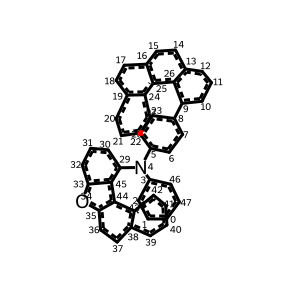 c1ccc(N(c2ccc(-c3cccc4ccc5ccc6ccccc6c5c34)cc2)c2cccc3oc4ccc5ccccc5c4c23)cc1